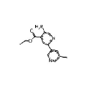 Bc1cnc(-c2cncc(C)c2)cc1C(=O)OCC